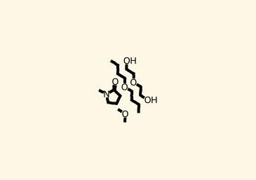 CCCCOCCCC.CN1CCCC1=O.COC.OCCOCCO